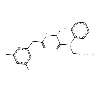 C[C@H](NC(=O)Cc1cc(F)cc(F)c1)C(=O)N(CC(=O)O)c1ccccc1